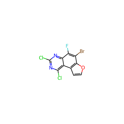 Fc1c(Br)c2occc2c2c(Cl)nc(Cl)nc12